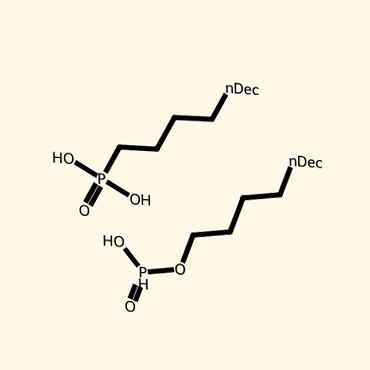 CCCCCCCCCCCCCCO[PH](=O)O.CCCCCCCCCCCCCCP(=O)(O)O